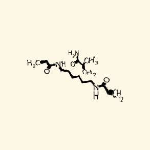 C=C(C)C(N)=O.C=CC(=O)NCCCCCCNC(=O)C=C